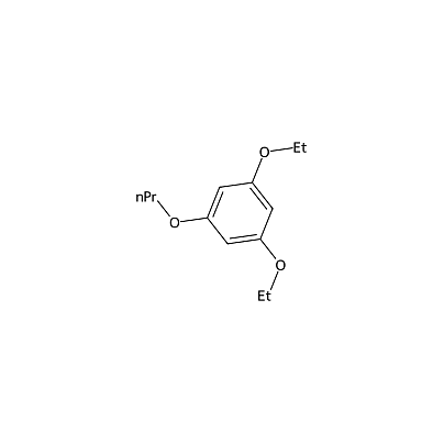 [CH2]CCOc1cc(OCC)cc(OCC)c1